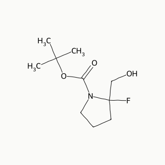 CC(C)(C)OC(=O)N1CCCC1(F)CO